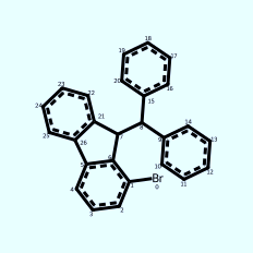 Brc1cccc2c1C(C(c1ccccc1)c1ccccc1)c1ccccc1-2